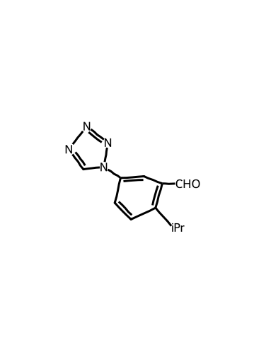 CC(C)c1ccc(-n2cnnn2)cc1C=O